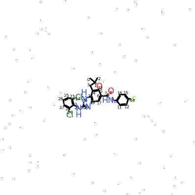 CC1(C)Cc2c(c(C(=O)Nc3ccc(F)cc3)cc3nc(Nc4c(Cl)cccc4Cl)[nH]c23)O1